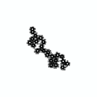 c1ccc(-n2c3ccccc3c3cc(-c4cccc(-c5cccc(N(c6ccc(-c7cccc8c(-c9ccc%10c(c9)c9cc(-c%11cccc(-c%12cccc(N(c%13ccc(-c%14ccc%15ccccc%15c%14)cc%13)c%13ccc%14c(c%13)C(c%13ccccc%13)(c%13ccccc%13)c%13ccccc%13-%14)c%12)c%11)ccc9n%10-c9ccccc9)cccc78)cc6)c6ccc7c(c6)C(c6ccccc6)(c6ccccc6)c6ccccc6-7)c5)c4)ccc32)cc1